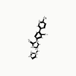 N#Cc1ccc(-c2ccc(N3C[C@H](Cn4ccnn4)OC3=O)cc2F)cn1